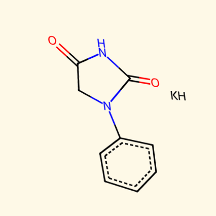 O=C1CN(c2ccccc2)C(=O)N1.[KH]